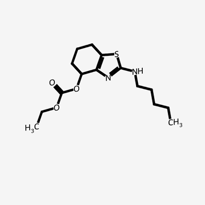 CCCCCNc1nc2c(s1)CCCC2OC(=O)OCC